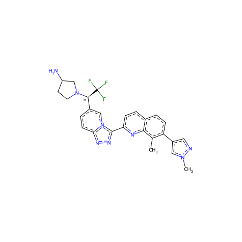 Cc1c(-c2cnn(C)c2)ccc2ccc(-c3nnc4ccc([C@@H](N5CCC(N)C5)C(F)(F)F)cn34)nc12